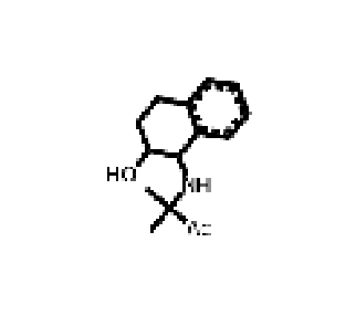 CC(=O)C(C)(C)NC1c2ccccc2CCC1O